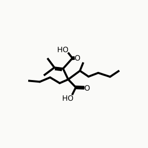 CCCCC(C)C(CCCC)(C(=O)O)C(C(=O)O)=C(C)C